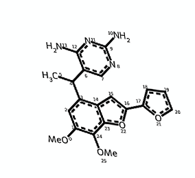 COc1cc(C(C)c2cnc(N)nc2N)c2cc(-c3ccco3)oc2c1OC